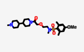 COc1cc(C)c(S(=O)(=O)N(C)CCOCC(=O)N2CCC(C3CCN(C)CC3)CC2)c(C)c1